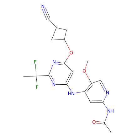 COc1cnc(NC(C)=O)cc1Nc1cc(OC2CC(C#N)C2)nc(C(C)(F)F)n1